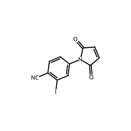 N#Cc1ccc(N2C(=O)C=CC2=O)cc1I